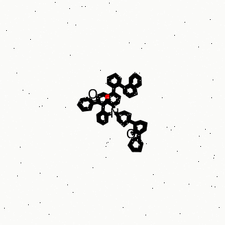 c1ccc(-c2cccc3ccccc23)c(-c2ccc(N(c3ccc(-c4cccc5c4oc4ccccc45)cc3)c3ccccc3-c3cccc4oc5ccccc5c34)cc2)c1